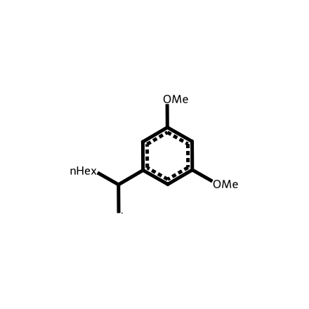 [CH2]C(CCCCCC)c1cc(OC)cc(OC)c1